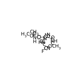 CC(C)OC(=O)Nc1ccc(-c2cn3ncc4c3nc2NCc2cc(F)cnc2O[C@@H](C)CNC4=O)c(Cl)c1